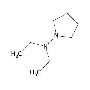 CCN(CC)N1CCCC1